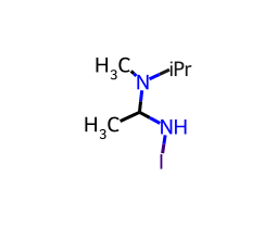 CC(C)N(C)C(C)NI